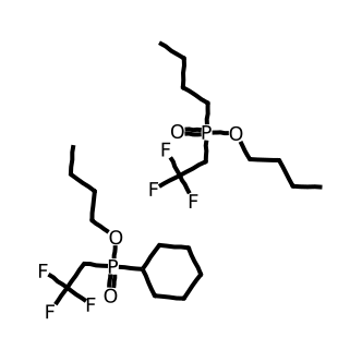 CCCCOP(=O)(CC(F)(F)F)C1CCCCC1.CCCCOP(=O)(CCCC)CC(F)(F)F